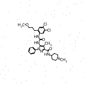 COCCCc1cc(Cl)c(Cl)cc1NC(=O)Nc1c(C)c(C(=O)NC2CCN(C)CC2)nn1-c1ccccc1